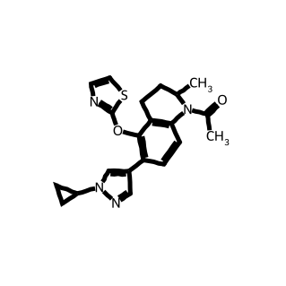 CC(=O)N1c2ccc(-c3cnn(C4CC4)c3)c(Oc3nccs3)c2CCC1C